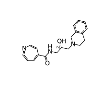 O=C(NC[C@H](O)CN1CCc2ccccc2C1)C1=CC=C=NC=C1